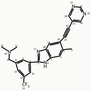 Cc1cc2[nH]c(-c3cc(CN(C)C)cc(C(F)(F)F)c3)nc2cc1C#Cc1cncnc1